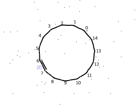 [CH]1CCCCC/C=C\CCCCCCC1